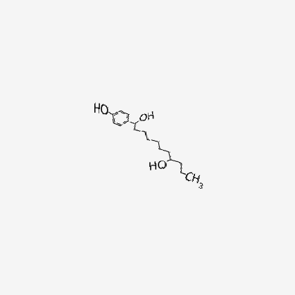 CCCC(O)CCCCCCC(O)c1ccc(O)cc1